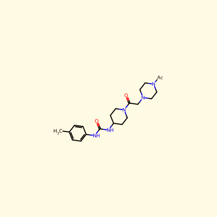 CC(=O)N1CCN(CC(=O)N2CCC(NC(=O)Nc3ccc(C)cc3)CC2)CC1